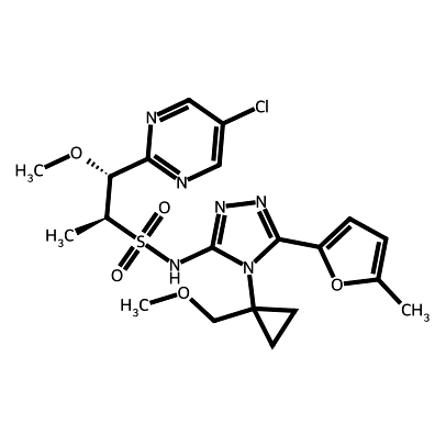 COCC1(n2c(NS(=O)(=O)[C@@H](C)[C@H](OC)c3ncc(Cl)cn3)nnc2-c2ccc(C)o2)CC1